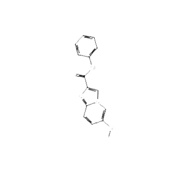 CNc1ccc2nc(C(=O)Nc3ccccc3)cn2c1